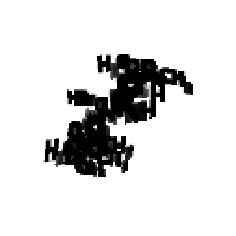 Br.CNC(=O)c1cc2c(cc1OC)CN(CC(=O)c1ccc(N(CC(=O)O)C(C)=O)c(C(C)(C)C)c1)C2=N